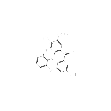 COc1cc(C(=O)c2cccc(C)c2)c(Oc2c(Br)[c]ccc2Br)cc1C(C)C